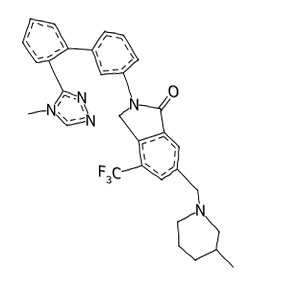 CC1CCCN(Cc2cc3c(c(C(F)(F)F)c2)CN(c2cccc(-c4ccccc4-c4nncn4C)c2)C3=O)C1